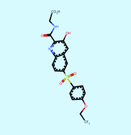 O=C(O)CNC(=O)c1nc2ccc(S(=O)(=O)c3ccc(OCC(F)(F)F)cc3)cc2cc1O